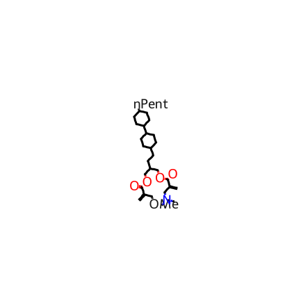 C=C(COC)C(=O)OCC(CCC1CCC(C2CCC(CCCCC)CC2)CC1)COC(=O)C(=C)CN(C)C